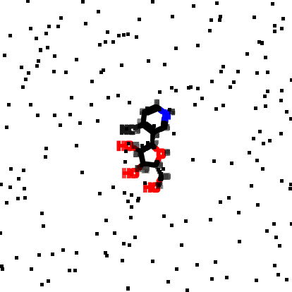 N#Cc1ccncc1[C@H]1O[C@H](CO)[C@@H](O)[C@H]1O